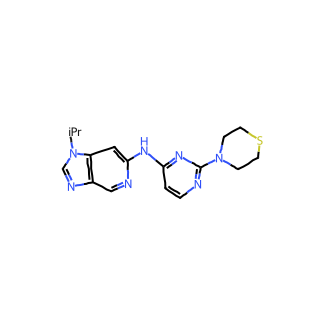 CC(C)n1cnc2cnc(Nc3ccnc(N4CCSCC4)n3)cc21